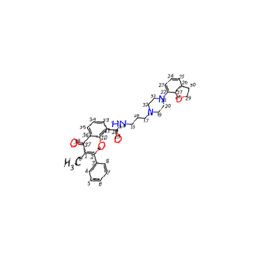 Cc1c(-c2ccccc2)oc2c(C(=O)NCCCN3CCN(c4cccc5c4OCC5)CC3)cccc2c1=O